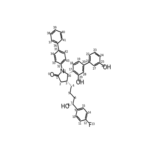 O=C1C[C@@H](CCC[C@@H](O)c2ccc(F)cc2)[C@@H](c2ccc(-c3cccc(O)c3)cc2O)N1c1ccc(-c2ccccc2)cc1